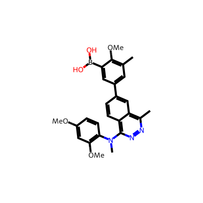 COc1ccc(N(C)c2nnc(C)c3cc(-c4cc(C)c(OC)c(B(O)O)c4)ccc23)c(OC)c1